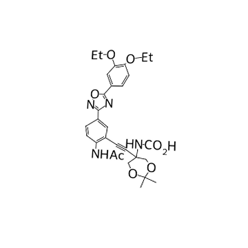 CCOc1ccc(-c2nc(-c3ccc(NC(C)=O)c(C#CC4(NC(=O)O)COC(C)(C)OC4)c3)no2)cc1OCC